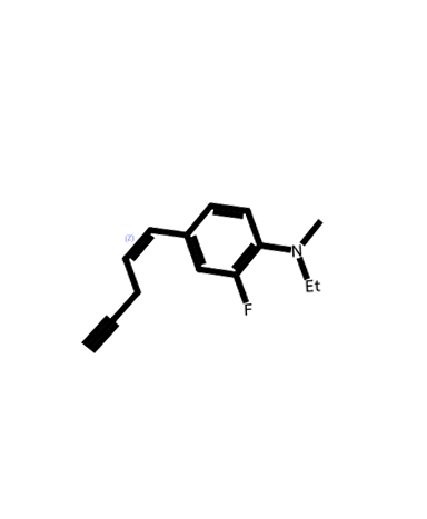 C#CC/C=C\c1ccc(N(C)CC)c(F)c1